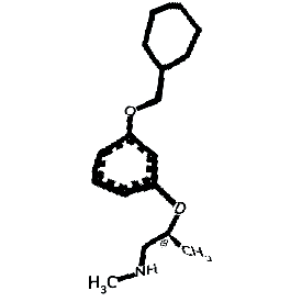 CNC[C@H](C)Oc1cccc(OCC2CCCCC2)c1